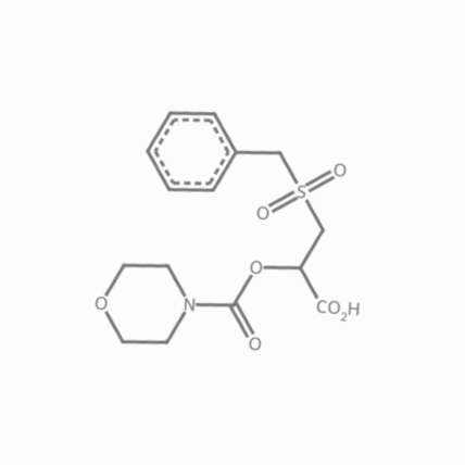 O=C(O)C(CS(=O)(=O)Cc1ccccc1)OC(=O)N1CCOCC1